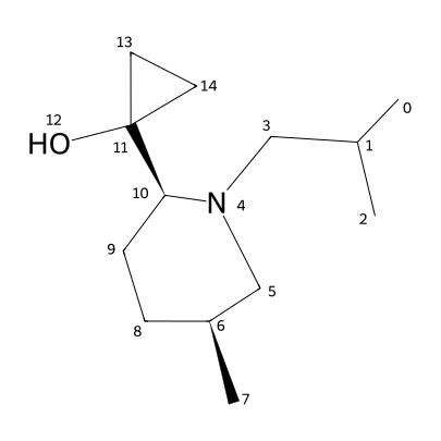 CC(C)CN1C[C@@H](C)CC[C@H]1C1(O)CC1